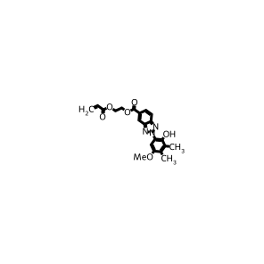 C=CC(=O)OCCOC(=O)c1ccc2nn(-c3cc(OC)c(C)c(C)c3O)nc2c1